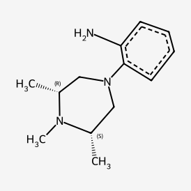 C[C@@H]1CN(c2ccccc2N)C[C@H](C)N1C